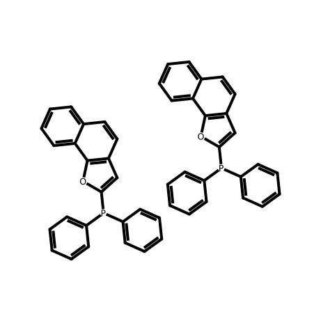 c1ccc(P(c2ccccc2)c2cc3ccc4ccccc4c3o2)cc1.c1ccc(P(c2ccccc2)c2cc3ccc4ccccc4c3o2)cc1